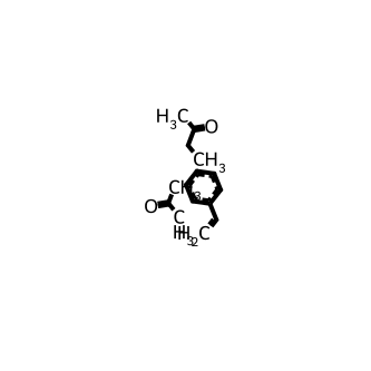 C=Cc1ccccc1.CC(C)=O.CCC(C)=O